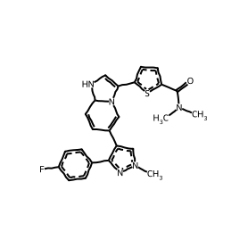 CN(C)C(=O)c1ccc(C2=CNC3C=CC(c4cn(C)nc4-c4ccc(F)cc4)=CN23)s1